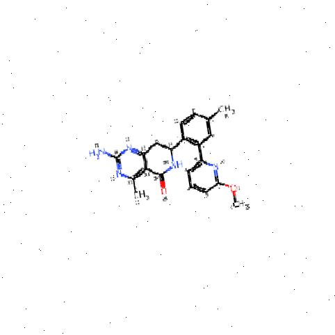 COc1cccc(-c2cc(C)ccc2C2Cc3nc(N)nc(C)c3C(=O)N2)n1